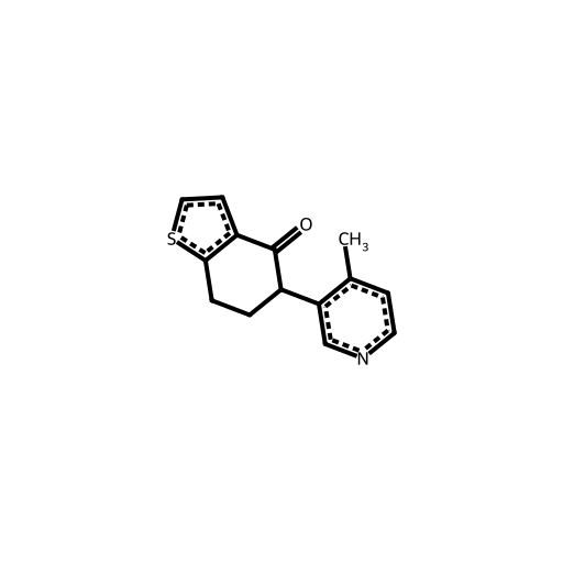 Cc1ccncc1C1CCc2sccc2C1=O